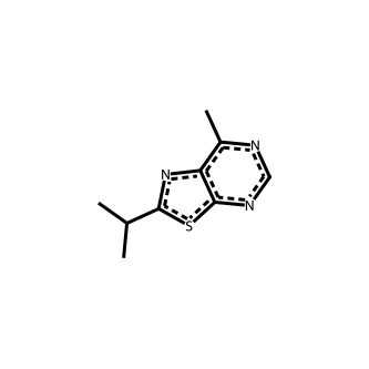 Cc1ncnc2sc(C(C)C)nc12